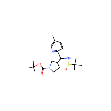 Cc1ccc(C(N[S@@+]([O-])C(C)(C)C)[C@H]2CCN(C(=O)OC(C)(C)C)C2)nc1